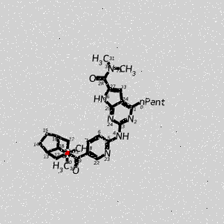 CCCCCc1nc(Nc2ccc(C(=O)N3CC4CCC(C3)C4N(C)C)cn2)nc2[nH]c(C(=O)N(C)C)cc12